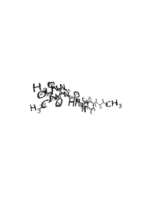 CCCCc1ccc2nc(NC(=O)Cn3cnc4c3c(=O)n(C)c(=O)n4C)sc2c1